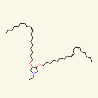 CCCCC/C=C\C/C=C\CCCCCCCCO[C@@H]1CN(CC)C[C@H]1OCCCCCCCC/C=C\C/C=C\CCCCC